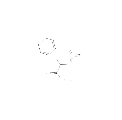 COC(=O)C(N=S(=O)=O)C(C)C.c1ccccc1